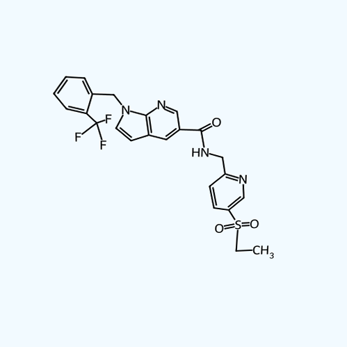 CCS(=O)(=O)c1ccc(CNC(=O)c2cnc3c(ccn3Cc3ccccc3C(F)(F)F)c2)nc1